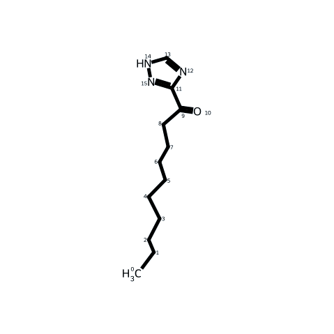 CCCCCCCCCC(=O)c1nc[nH]n1